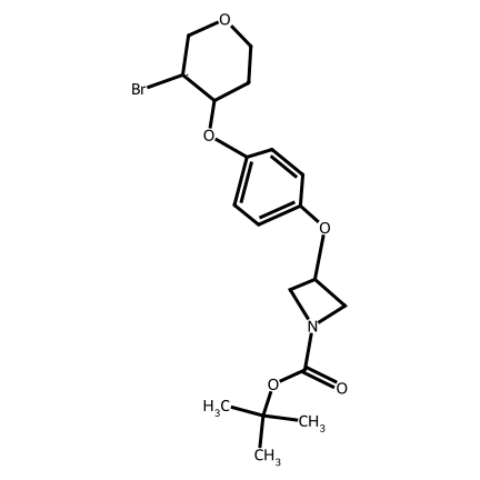 CC(C)(C)OC(=O)N1CC(Oc2ccc(OC3CCOC[C]3Br)cc2)C1